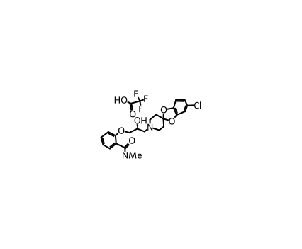 CNC(=O)c1ccccc1OC[C@@H](O)CN1CCC2(CC1)Oc1ccc(Cl)cc1O2.O=C(O)C(F)(F)F